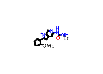 CCNC(=O)Nc1cc2cc(-c3ccccc3OC)n(C)c2cn1